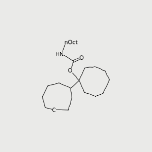 CCCCCCCCNC(=O)OC1(C2CCCCCCC2)CCCCCCC1